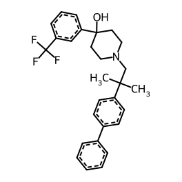 CC(C)(CN1CCC(O)(c2cccc(C(F)(F)F)c2)CC1)c1ccc(-c2ccccc2)cc1